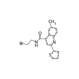 Cc1ccc2nc(-c3cccs3)cc(C(=O)NCCBr)c2c1